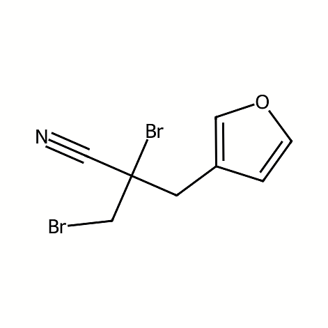 N#CC(Br)(CBr)Cc1ccoc1